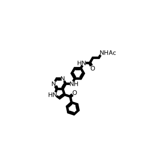 CC(=O)NCCC(=O)Nc1ccc(Nc2ncnc3[nH]cc(C(=O)c4ccccc4)c23)cc1